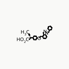 CC#C[C@@H](CC(=O)O)c1ccc(OCc2cccc3c2cnn3Cc2ccccc2)cc1